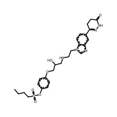 CCCCS(=O)(=O)Oc1ccc(OCC(O)CNCCn2cnc3cc(C4=NNC(=O)CC4)ccc32)cc1